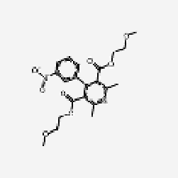 COCCOC(=O)c1c(C)nc(C)c(C(=O)OCCOC)c1-c1cccc([N+](=O)[O-])c1